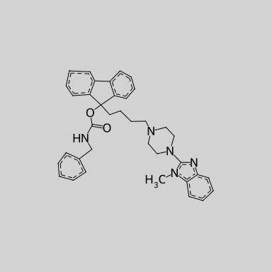 Cn1c(N2CCN(CCCCC3(OC(=O)NCc4ccccc4)c4ccccc4-c4ccccc43)CC2)nc2ccccc21